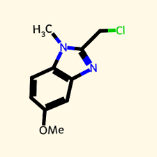 COc1ccc2c(c1)nc(CCl)n2C